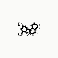 Clc1cc(Br)cc2c1sc1ccc3ccccc3c12